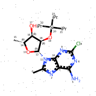 Cc1nc2c(N)nc(Cl)nc2n1[C@@H]1O[C@H](C)[C@@H](O)[C@H]1O[Si](C(C)C)(C(C)C)C(C)C